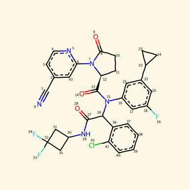 N#Cc1ccnc(N2C(=O)CC[C@H]2C(=O)N(c2cc(F)cc(C3CC3)c2)C(C(=O)NC2CC(F)(F)C2)c2ccccc2Cl)c1